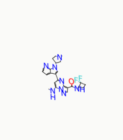 CNc1cc(-c2cn([C@@H]3CCN(C)C3)c3ncccc23)nc2c(C(=O)NC3CCC3(F)F)cnn12